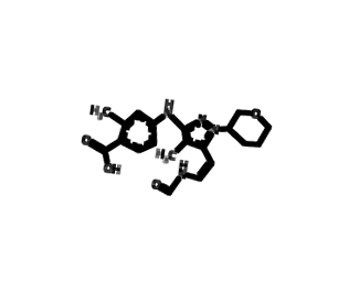 Cc1cc(Nc2nn(C3CCCOC3)c(/C=C\NC=O)c2C)ccc1C(=O)O